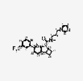 O=C(NCCCn1ccnc1)N1c2nc(-c3cccc(C(F)(F)F)c3)ccc2C2CCC21